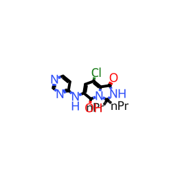 CCCC1(CCC)NC(=O)C2=C(Cl)C=C(Nc3ccncn3)C(O)N21